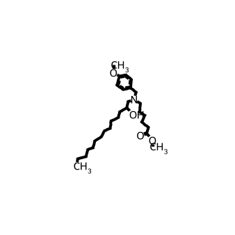 CCCCCCCCCCCCC(O)CN(CCCCCC(=O)OC)Cc1ccc(OC)cc1